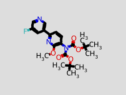 COc1nc(-c2cncc(F)c2)ccc1N(C(=O)OC(C)(C)C)C(=O)OC(C)(C)C